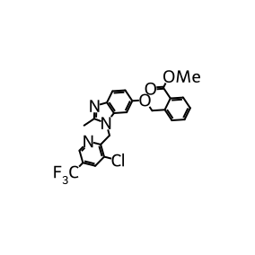 COC(=O)c1ccccc1COc1ccc2nc(C)n(Cc3ncc(C(F)(F)F)cc3Cl)c2c1